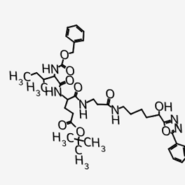 CCC(C)C(NC(=O)OCc1ccccc1)C(=O)NC(CCC(=O)OC(C)(C)C)C(=O)NCCC(=O)NCCCCC(O)c1nnc(-c2ccccc2)o1